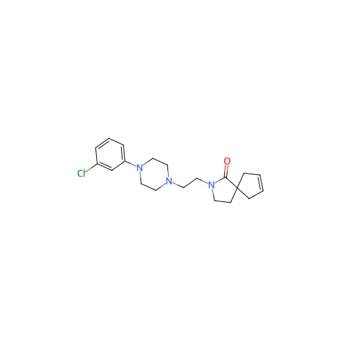 O=C1N(CCN2CCN(c3cccc(Cl)c3)CC2)CCC12CC=CC2